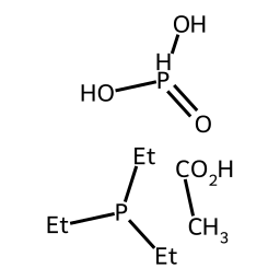 CC(=O)O.CCP(CC)CC.O=[PH](O)O